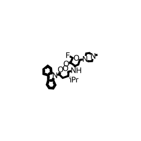 CC(C)[C@H](CC(=O)n1c2ccccc2c2ccccc21)C(=O)NC(CC(=O)N1CCN(C)CC1)C(=O)CF